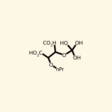 CCCOC(C(=O)O)C(OC(O)(O)O)C(=O)O